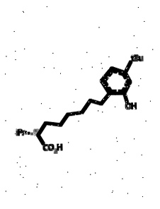 CC(C)[C@H](CCCCCCc1ccc(C(C)(C)C)cc1O)C(=O)O